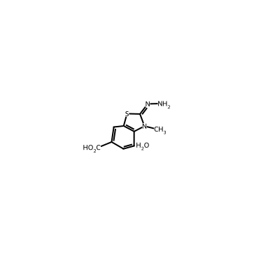 Cn1c(=NN)sc2cc(C(=O)O)ccc21.O